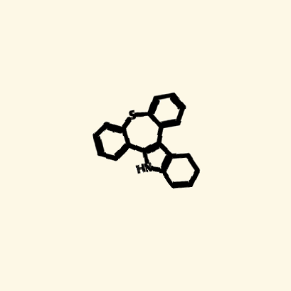 C1=Cc2[nH]c3c(c2CC1)-c1ccccc1Sc1ccccc1-3